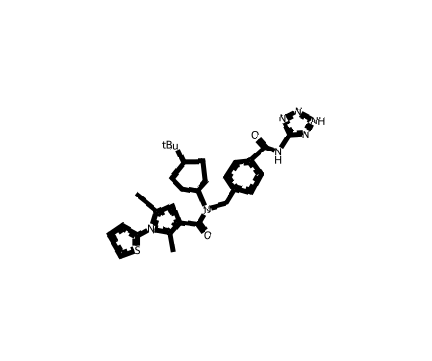 Cc1cc(C(=O)N(Cc2ccc(C(=O)Nc3nn[nH]n3)cc2)C2CCC(C(C)(C)C)CC2)c(C)n1-c1cccs1